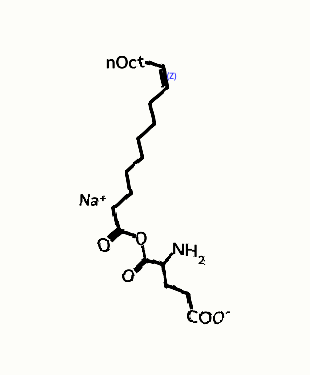 CCCCCCCC/C=C\CCCCCCCC(=O)OC(=O)C(N)CCC(=O)[O-].[Na+]